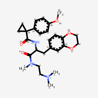 CN(C)CCN(C)C(=O)C(Cc1ccc2c(c1)OCCO2)NC(=O)C1(c2ccc(OC(F)(F)F)cc2)CC1